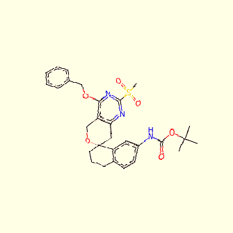 CC(C)(C)OC(=O)Nc1ccc2c(c1)C1(CCC2)Cc2nc(S(C)(=O)=O)nc(OCc3ccccc3)c2CO1